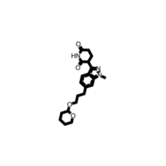 Cn1nc(C2CCC(=O)NC2=O)c2ccc(CCCOC3CCCCO3)cc21